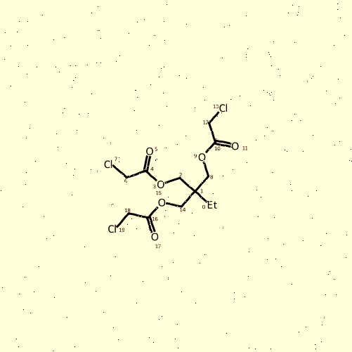 CCC(COC(=O)CCl)(COC(=O)CCl)COC(=O)CCl